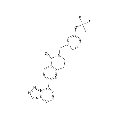 O=C1c2ccc(-c3cccc4cnnn34)nc2CCN1Cc1cccc(OC(F)(F)F)c1